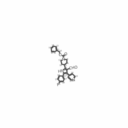 O=Cc1c(C2CCN(C(=O)OCc3ccccc3)CC2)[nH]c(-c2ccc(F)cc2)c1-c1ccncc1